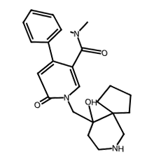 CN(C)C(=O)c1cn(CC2(O)CCNCC23CCCC3)c(=O)cc1-c1ccccc1